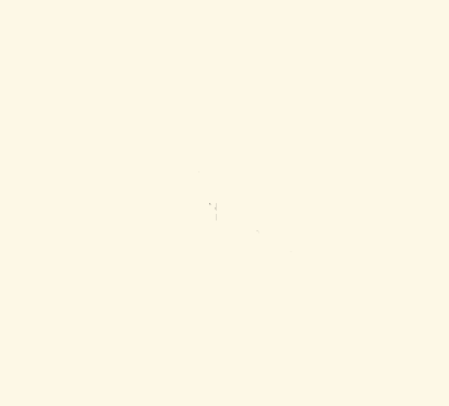 CSNC1CCC2C=C1O2